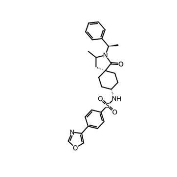 CC1C[C@]2(CC[C@@H](NS(=O)(=O)c3ccc(-c4cocn4)cc3)CC2)C(=O)N1[C@H](C)c1ccccc1